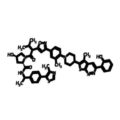 Cc1cc(-c2cc(C(C(=O)N3C[C@H](O)C[C@H]3C(=O)NC(C)c3ccc(-c4scnc4C)cc3)C(C)C)on2)ccc1N1CCC(c2sc3nnc(-c4ccccc4O)cc3c2C)CC1